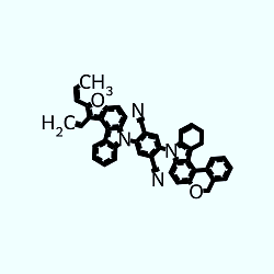 C=Cc1c(/C=C\C)oc2ccc3c(c4ccccc4n3-c3cc(C#N)c(-n4c5c(c6c7c(ccc64)OCc4ccccc4-7)CCC=C5)cc3C#N)c12